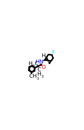 Cc1cccc(C(C)(C)C(=O)N[C@H]2[C@H]3C[C@H](F)CC4C[C@]432)c1